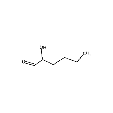 CCCC[C](O)C=O